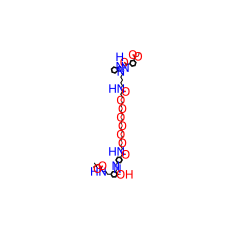 COC(=O)c1cccc(C(=O)/N=c2\[nH]c3ccccc3n2CCCCCNC(=O)CCOCCOCCOCCOCCOCCOCCNC(=O)c2ccc(/N=N/c3cc(CCNC(=O)OC(C)(C)C)ccc3O)cc2)c1